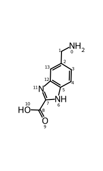 NCc1ccc2[nH]c(C(=O)O)nc2c1